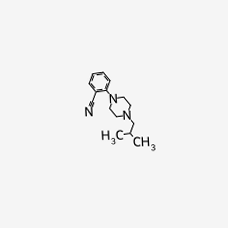 CC(C)CN1CCN(c2ccccc2C#N)CC1